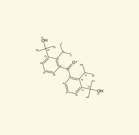 CC(C)c1c(C(=O)c2cccc(C(C)(C)O)c2C(C)C)cccc1C(C)(C)O